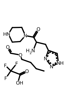 CCCCOC=O.NC(Cc1c[nH]nn1)C(=O)N1CCNCC1.O=C(O)C(F)(F)F